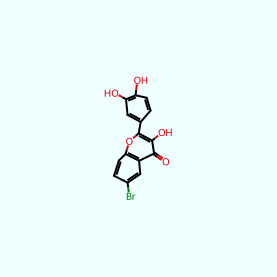 O=c1c(O)c(-c2ccc(O)c(O)c2)oc2ccc(Br)cc12